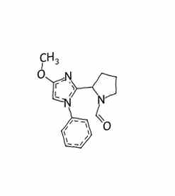 COc1cn(-c2ccccc2)c(C2CCCN2C=O)n1